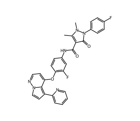 Cc1c(C(=O)Nc2ccc(Oc3ccnn4ccc(-c5ccccn5)c34)c(F)c2)c(=O)n(-c2ccc(F)cc2)n1C